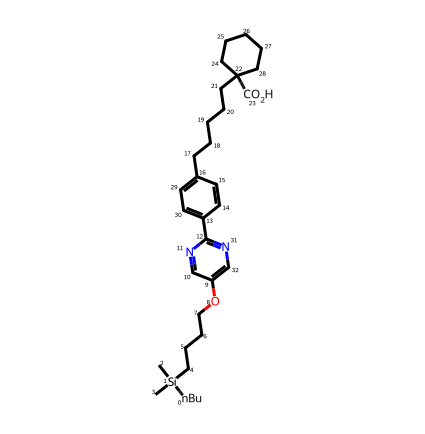 CCCC[Si](C)(C)CCCCOc1cnc(-c2ccc(CCCCCC3(C(=O)O)CCCCC3)cc2)nc1